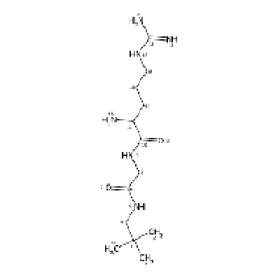 CC(C)(C)CNC(=O)CNC(=O)C(N)CCCNC(=N)N